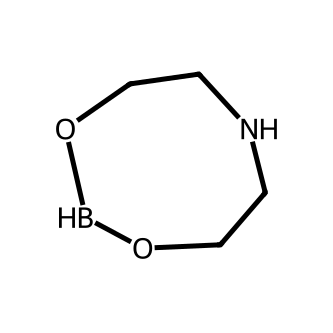 B1OCCNCCO1